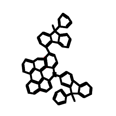 CC1(c2ccccc2)c2ccccc2-c2ccc(N(c3ccc(-c4cccc5c4-c4ccccc4C5(C)c4ccccc4)cc3)c3ccccc3-c3cccc4cccc(-c5ccccc5)c34)cc21